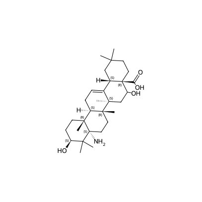 CC1(C)CC[C@]2(C(=O)O)C(O)C[C@]3(C)C(=CC[C@@H]4[C@@]5(C)CC[C@H](O)C(C)(C)[C@]5(N)CC[C@]43C)[C@@H]2C1